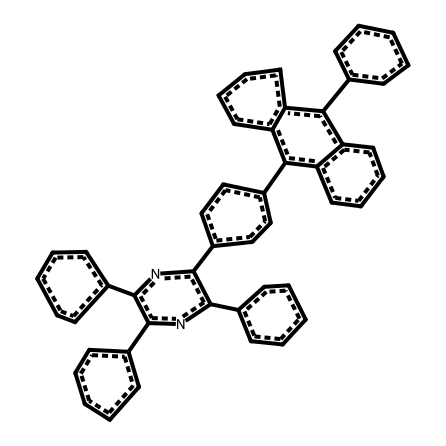 c1ccc(-c2nc(-c3ccccc3)c(-c3ccc(-c4c5ccccc5c(-c5ccccc5)c5ccccc45)cc3)nc2-c2ccccc2)cc1